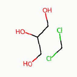 ClCCl.OCC(O)CO